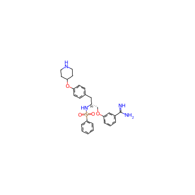 N=C(N)c1cccc(OC[C@@H](Cc2ccc(OC3CCNCC3)cc2)NS(=O)(=O)c2ccccc2)c1